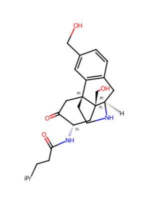 CC(C)CCC(=O)N[C@H]1C[C@@]2(CO)[C@H]3Cc4ccc(CO)cc4[C@@]2(CCN3)CC1=O